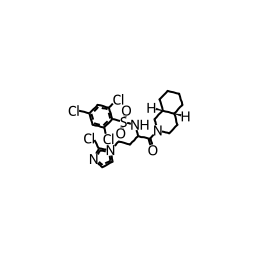 O=C(C(CCn1ccnc1Cl)NS(=O)(=O)c1c(Cl)cc(Cl)cc1Cl)N1CC[C@H]2CCCC[C@H]2C1